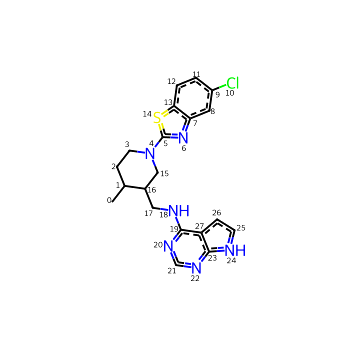 CC1CCN(c2nc3cc(Cl)ccc3s2)CC1CNc1ncnc2[nH]ccc12